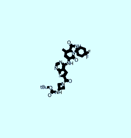 Cc1cc(Nc2ncnc3sc(C(=O)N4CC(NC(=O)OC(C)(C)C)C4)cc23)c(=O)n2c1C(=O)NC21CCC(F)(F)CC1